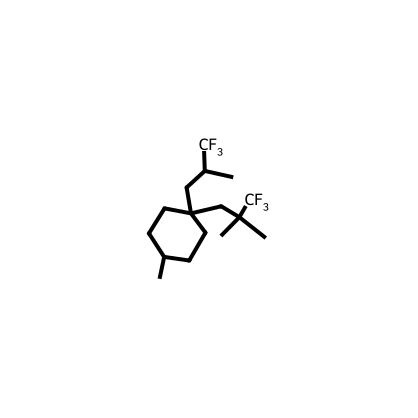 CC1CCC(CC(C)C(F)(F)F)(CC(C)(C)C(F)(F)F)CC1